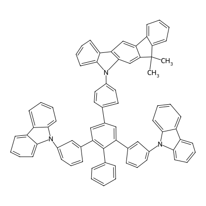 CC1(C)c2ccccc2-c2cc3c4ccccc4n(-c4ccc(-c5cc(-c6cccc(-n7c8ccccc8c8ccccc87)c6)c(-c6ccccc6)c(-c6cccc(-n7c8ccccc8c8ccccc87)c6)c5)cc4)c3cc21